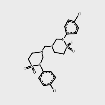 O=S1(=O)CCN(CN2CCS(=O)(=O)N(c3ccc(Cl)cc3)C2)CN1c1ccc(Cl)cc1